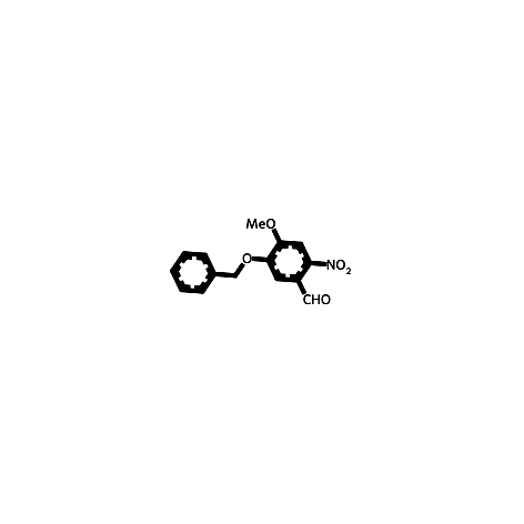 COc1cc([N+](=O)[O-])c(C=O)cc1OCc1ccccc1